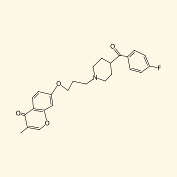 Cc1coc2cc(OCCCN3CCC(C(=O)c4ccc(F)cc4)CC3)ccc2c1=O